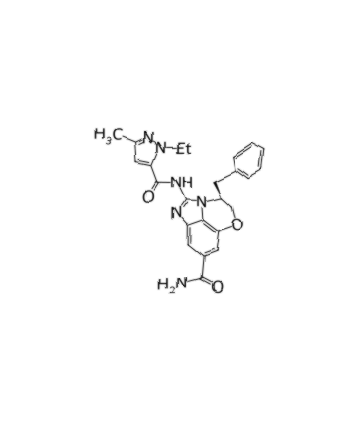 CCn1nc(C)cc1C(=O)Nc1nc2cc(C(N)=O)cc3c2n1[C@@H](Cc1ccccc1)CO3